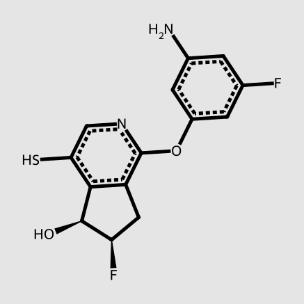 Nc1cc(F)cc(Oc2ncc(S)c3c2C[C@@H](F)[C@H]3O)c1